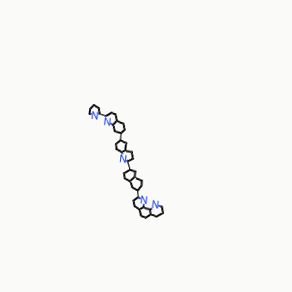 c1ccc(-c2ccc3ccc(-c4ccc5nc(-c6ccc7cc(-c8ccc9ccc%10cccnc%10c9n8)ccc7c6)ccc5c4)cc3n2)nc1